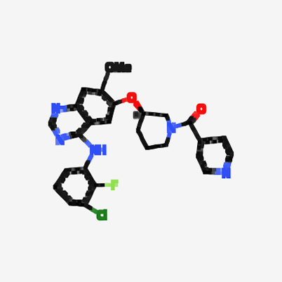 COc1cc2ncnc(Nc3cccc(Cl)c3F)c2cc1O[C@@H]1CCCN(C(=O)c2ccncc2)C1